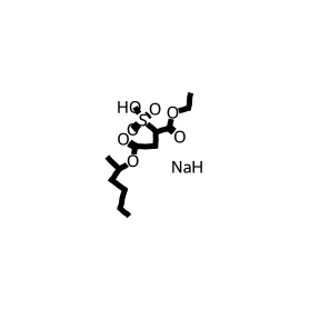 CCCCC(C)OC(=O)CC(C(=O)OCC)S(=O)(=O)O.[NaH]